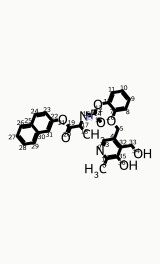 Cc1ncc(COc2ccccc2O/[P+]([O-])=N/C(C)C(=O)Oc2ccc3ccccc3c2)c(CO)c1O